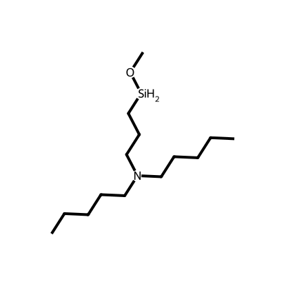 CCCCCN(CCCCC)CCC[SiH2]OC